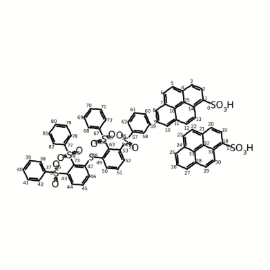 O=S(=O)(O)c1ccc2ccc3cccc4ccc1c2c34.O=S(=O)(O)c1ccc2ccc3cccc4ccc1c2c34.O=S(=O)(c1ccccc1)c1cccc(Sc2cccc(S(=O)(=O)c3ccccc3)c2S(=O)(=O)c2ccccc2)c1S(=O)(=O)c1ccccc1